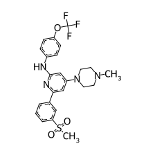 CN1CCN(c2cc(Nc3ccc(OC(F)(F)F)cc3)nc(-c3cccc(S(C)(=O)=O)c3)c2)CC1